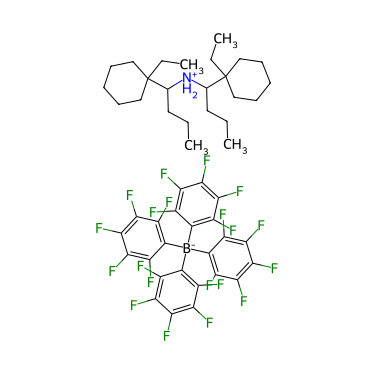 CCCC([NH2+]C(CCC)C1(CC)CCCCC1)C1(CC)CCCCC1.Fc1c(F)c(F)c([B-](c2c(F)c(F)c(F)c(F)c2F)(c2c(F)c(F)c(F)c(F)c2F)c2c(F)c(F)c(F)c(F)c2F)c(F)c1F